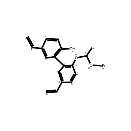 C=Cc1ccc(O)c(-c2cc(C=C)ccc2OC(C)OCCC)c1